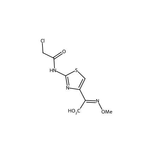 CON=C(C(=O)O)c1csc(NC(=O)CCl)n1